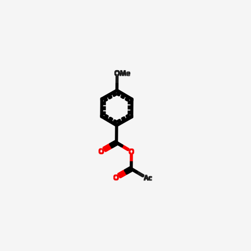 COc1ccc(C(=O)OC(=O)C(C)=O)cc1